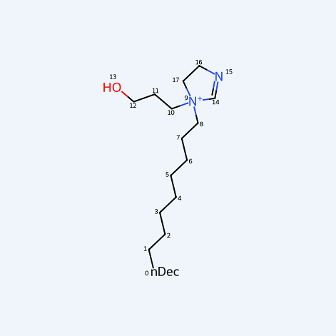 CCCCCCCCCCCCCCCCCC[N+]1(CCCO)C=NCC1